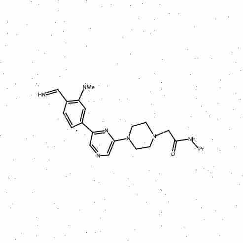 CNc1cc(-c2cncc(N3CCN(CC(=O)NC(C)C)CC3)n2)ccc1C=N